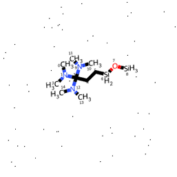 CN(C)C(CC[SiH2]O[SiH3])(N(C)C)N(C)C